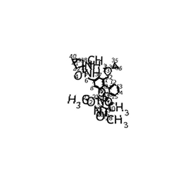 CNC1(C(=O)NCc2ccc(-c3ccccc3S(=O)(=O)N(COC)c3noc(C)c3C)c(COC3CC3)c2)CC2CC2C1